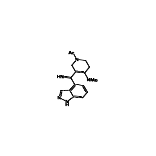 CNC1=C(C(=N)c2cccc3[nH]ncc23)CN(C(C)=O)CC1